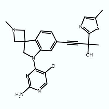 Cc1cnc(C(C)(O)C#Cc2ccc3c(c2)N(c2nc(N)ncc2Cl)CC32CN(C)C2)s1